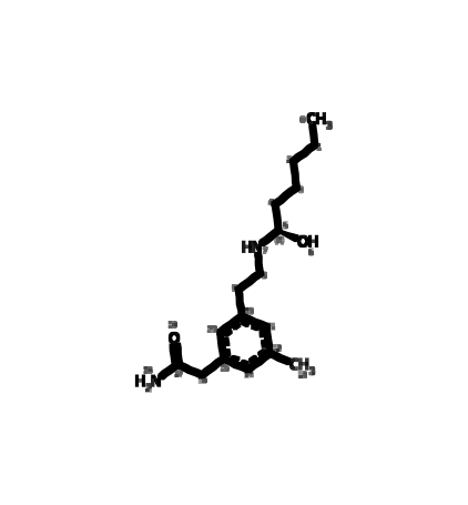 CCCCC[C@@H](O)NCCc1cc(C)cc(CC(N)=O)c1